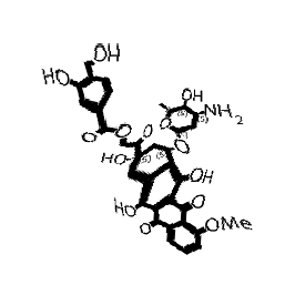 COc1cccc2c1C(=O)c1c(O)c3c(c(O)c1C2=O)C[C@@](O)(C(=O)COC(=O)c1ccc(CO)c(O)c1)C[C@@H]3O[C@H]1C[C@H](N)[C@H](O)[C@H](C)O1